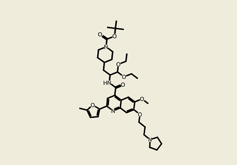 CCOC(OCC)C(CC1CCN(C(=O)OC(C)(C)C)CC1)NC(=O)c1cc(-c2ccc(C)o2)nc2cc(OCCCN3CCCC3)c(OC)cc12